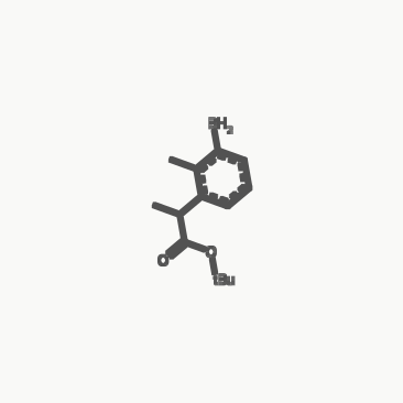 Bc1cccc(C(C)C(=O)OC(C)(C)C)c1C